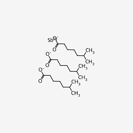 CC(C)CCCCC(=O)[O-].CC(C)CCCCC(=O)[O-].CC(C)CCCCC(=O)[O-].[Sb+3]